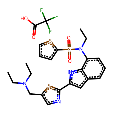 CCN(CC)Cc1cnc(-c2cc3cccc(N(CC)S(=O)(=O)c4cccs4)c3[nH]2)s1.O=C(O)C(F)(F)F